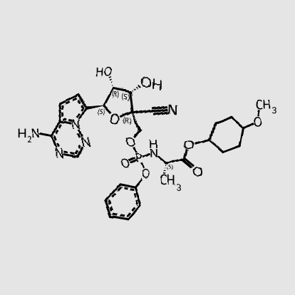 COC1CCC(OC(=O)[C@H](C)NP(=O)(OC[C@@]2(C#N)O[C@@H](c3ccc4c(N)ncnn34)[C@H](O)[C@@H]2O)Oc2ccccc2)CC1